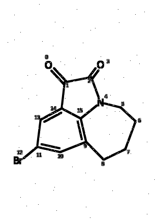 O=C1C(=O)N2CCCCc3cc(Br)cc1c32